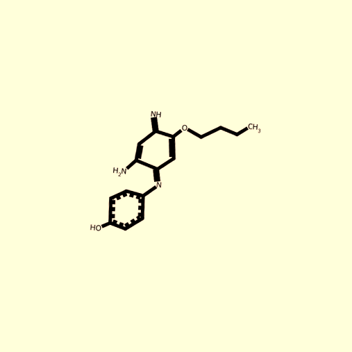 CCCCOC1=C/C(=N/c2ccc(O)cc2)C(N)=CC1=N